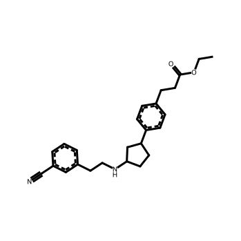 CCOC(=O)CCc1ccc(C2CCC(NCCc3cccc(C#N)c3)C2)cc1